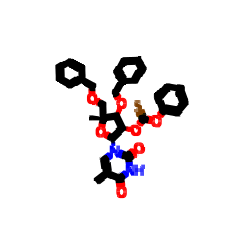 Cc1cn([C@@H]2O[C@](C)(COCc3ccccc3)[C@@H](OCc3ccccc3)[C@H]2OC(=S)Oc2ccccc2)c(=O)[nH]c1=O